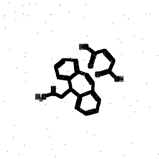 CNCC1c2ccccc2C=Cc2ccccc21.O=C(O)/C=C\C(=O)O